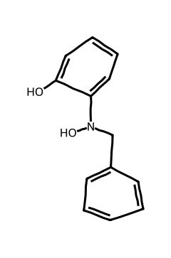 Oc1ccccc1N(O)Cc1ccccc1